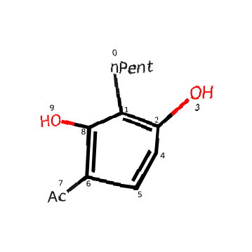 CCCCCc1c(O)ccc(C(C)=O)c1O